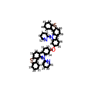 c1ccc(-n2c3cc(Oc4ccc5c6ccc7sc8ccccc8c7c6n(-c6ccccn6)c5c4)ccc3c3ccc4sc5ccccc5c4c32)nc1